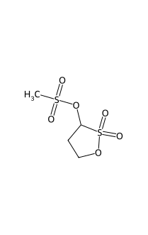 CS(=O)(=O)OC1CCOS1(=O)=O